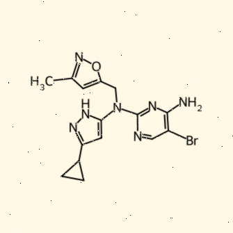 Cc1cc(CN(c2ncc(Br)c(N)n2)c2cc(C3CC3)n[nH]2)on1